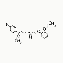 CCCOc1ccccc1OCCNCCCC(OCC)c1ccc(F)cc1